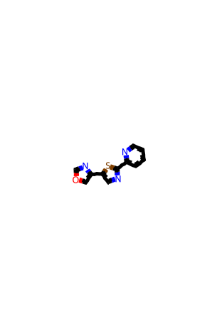 [c]1nc(-c2ccccn2)sc1-c1cocn1